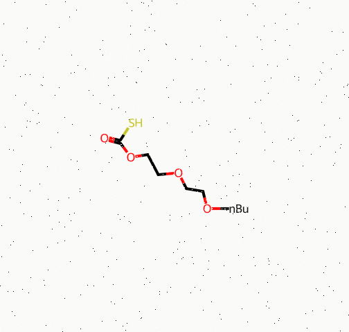 CCCCOCCOCCOC(=O)S